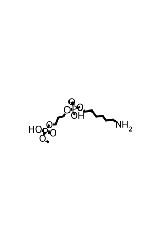 COP(=O)(O)OCCCOP(=O)(O)OCCCCCCN